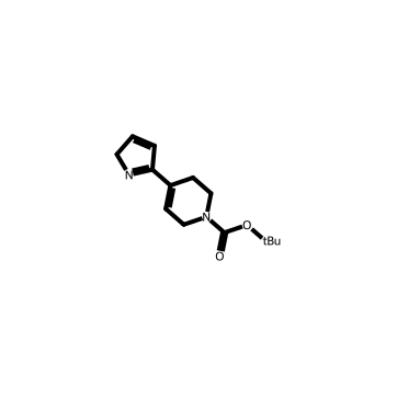 CC(C)(C)OC(=O)N1CC=C(C2=NCC=C2)CC1